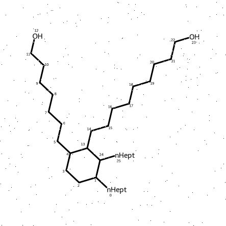 CCCCCCCC1CCC(CCCCCCCO)C(CCCCCCCCCO)C1CCCCCCC